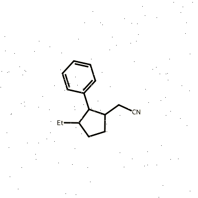 [CH2]CC1C[CH]C(CC#N)C1c1ccccc1